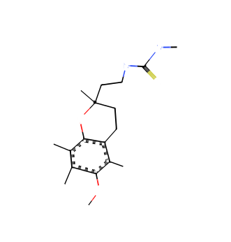 CNC(=S)NCCC1(C)CCc2c(C)c(OC)c(C)c(C)c2O1